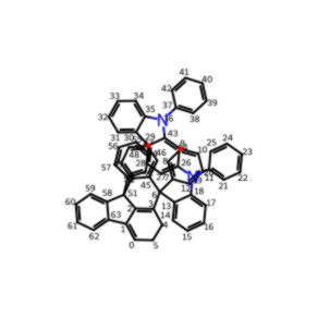 C1=C2C3=C(CC1)C(c1ccccc1)(c1ccccc1N(c1ccccc1)c1ccc4c5ccccc5n(-c5ccccc5)c4c1)c1ccccc1C3(c1ccccc1)c1ccccc12